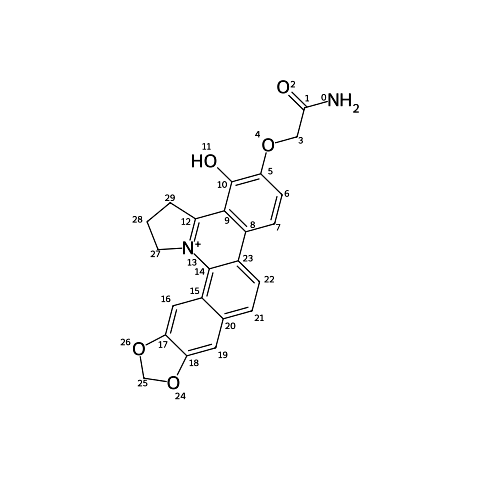 NC(=O)COc1ccc2c(c1O)c1[n+](c3c4cc5c(cc4ccc23)OCO5)CCC1